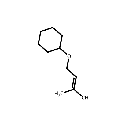 CC(C)=CCOC1CCCCC1